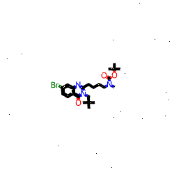 CN(CCCCc1nc2cc(Br)ccc2c(=O)n1CC(C)(C)C)C(=O)OC(C)(C)C